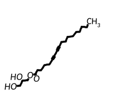 CCCCCCCCCC#CC#CCCCCC(=O)OCC(O)CO